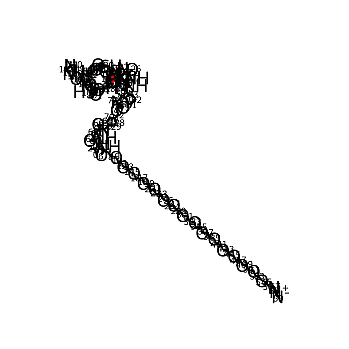 CC(C)[C@H](NC(=O)CCOCCOCCOCCOCCOCCOCCOCCOCCOCCOCCOCCOCCOCCOCCOCCOCCN=[N+]=[N-])C(=O)N[C@@H](C)C(=O)Nc1ccc(COC(=O)N(C)Cc2ccccc2C(=O)Nc2nc3c(ncn3[C@@H]3O[C@@H]4CO[P@@](=O)(S)O[C@H]5C[C@H](Oc6ccncn6)C[C@@H]5CO[P@@](=O)(S)O[C@@H]3[C@@H]4O)c(=O)[nH]2)cc1